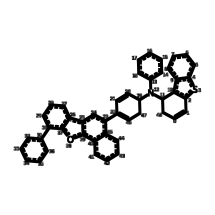 C1=Cc2sc3ccccc3c2C(N(c2ccccc2)C2C=CC(c3cc4c5cccc(-c6ccccc6)c5oc4c4ccccc34)=CC2)C1